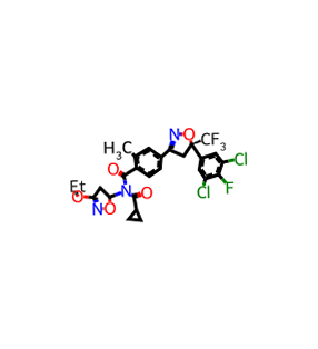 CCOC1=NOC(N(C(=O)c2ccc(C3=NO[C@@](c4cc(Cl)c(F)c(Cl)c4)(C(F)(F)F)C3)cc2C)C(=O)C2CC2)C1